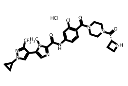 Cl.Cn1c(-c2cn(C3CC3)nc2C(F)(F)F)cnc1C(=O)Nc1ccc(C(=O)N2CCN(C(=O)[C@H]3CCN3)CC2)c(Cl)c1